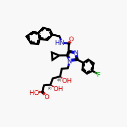 O=C(O)C[C@H](O)C[C@H](O)CCn1c(-c2ccc(F)cc2)nc(C(=O)NCc2ccc3ccccc3c2)c1C1CC1